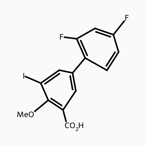 COc1c(I)cc(-c2ccc(F)cc2F)cc1C(=O)O